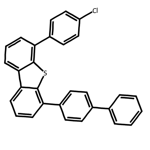 Clc1ccc(-c2cccc3c2sc2c(-c4ccc(-c5ccccc5)cc4)cccc23)cc1